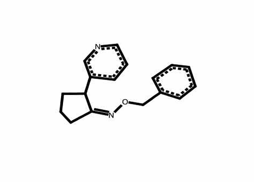 c1ccc(CO/N=C2/CCCC2c2cccnc2)cc1